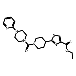 CCOC(=O)c1csc(C2CCN(C(=O)N3CCN(c4ccccn4)CC3)CC2)n1